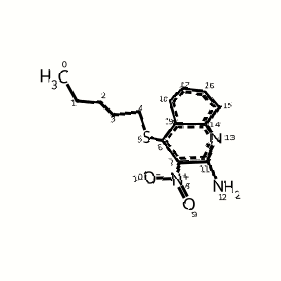 CCCCCSc1c([N+](=O)[O-])c(N)nc2ccccc12